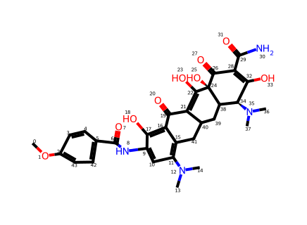 COc1ccc(C(=O)Nc2cc(N(C)C)c3c(c2O)C(=O)C2=C(O)[C@]4(O)C(=O)C(C(N)=O)=C(O)[C@@H](N(C)C)C4CC2C3)cc1